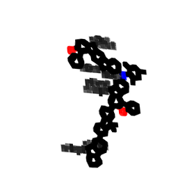 CCCCCCCCC1(CCCCCCCC)c2cc(N(c3ccc4c(c3)C(CCCCCCC)(CCCCCCC)c3cc(-c5ccc6c(c5)C(C)(C)c5cc(-c7ccc8c(c7)C(CCCCCCC)(CCCCCCC)c7ccccc7-8)ccc5-6)c5oc6ccccc6c5c3-4)c3c(C)cc(C)cc3C)ccc2-c2cc3c(cc21)-c1c(ccc2oc4ccccc4c12)C3(CCCCCCCC)CCCCCCCC